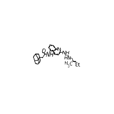 CC/C=C(\C)CNCCNc1ccc2c(NC(=O)CC34CC5CC(CC(C5)C3)C4)cccc2n1